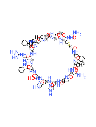 CCCC[C@H]1C(=O)N(C)[C@@H](CCCC)C(=O)N[C@@H](CC(C)C)C(=O)N[C@H](C(=O)NCC(N)=O)CSCC(=O)N[C@@H](Cc2ccccc2)C(=O)N(C)[C@@H](C)C(=O)N[C@@H](CC(N)=O)C(=O)N2CCC[C@H]2C(=O)N[C@@H](Cc2c[nH]cn2)C(=O)N[C@@H](Cc2c[nH]cn2)C(=O)N[C@@H](CO)C(=O)N[C@@H](Cc2c[nH]c3ccccc23)C(=O)N[C@@H](CCCNC(=N)N)C(=O)N[C@@H](Cc2c[nH]c3ccccc23)C(=O)N1C